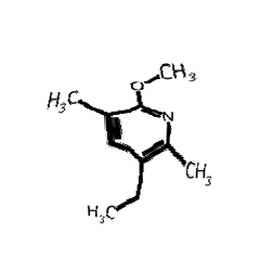 CCc1cc(C)c(OC)nc1C